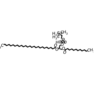 CCCCCCCCCCCCCCCCCCCCCCCCCC(=O)O[C@H](COC(=O)CCCCCCCCCCC)COP(=O)(O)OCC[N+](C)(C)C